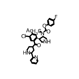 CC(=O)c1cc([C@@H]2CNC[C@H]2N(C)C(=O)Oc2ccc(F)cc2)c(C(=O)C2CCNC(c3ccccn3)C2)cc1Cl